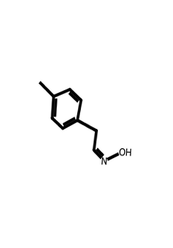 Cc1ccc(C/C=N\O)cc1